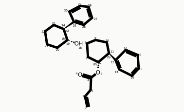 C=CCC(=O)O[C@@H]1CCCC[C@H]1c1ccccc1.O[C@@H]1CCCC[C@H]1c1ccccc1